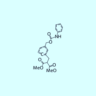 COC(=O)C(Cc1cccc(COC(=O)Nc2ccccc2)c1)C(=O)OC